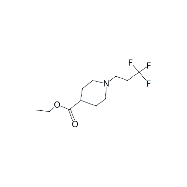 CCOC(=O)C1CCN(CCC(F)(F)F)CC1